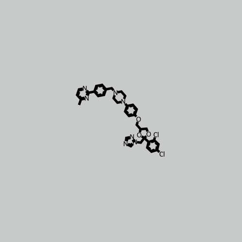 Cc1ccnc(-c2ccc(CN3CCN(c4ccc(OCC5COC(Cn6cncn6)(c6ccc(Cl)cc6Cl)O5)cc4)CC3)cc2)n1